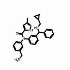 Cc1cc(C(=O)N(c2cccc(CN)c2)c2cccc(C(NCC3CC3)c3ccccc3)c2)[nH]n1